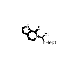 CCCCCCCC(CC)n1ccc2ccsc2c1=S